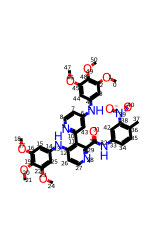 COc1cc(Nc2ccnc(-c3c(Nc4cc(OC)c(OC)c(OC)c4)ccnc3C(=O)Nc3ccc(C)c([N+](=O)[O-])c3)c2)cc(OC)c1OC